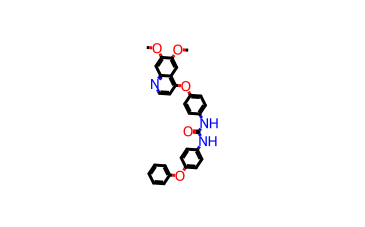 COc1cc2nccc(Oc3ccc(NC(=O)Nc4ccc(Oc5ccccc5)cc4)cc3)c2cc1OC